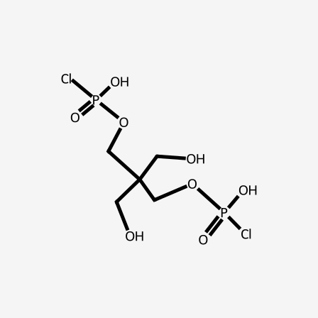 O=P(O)(Cl)OCC(CO)(CO)COP(=O)(O)Cl